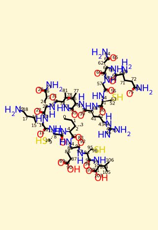 CC[C@H](C)[C@H](NC(=O)[C@H](CS)NC(=O)[C@H](CCCCN)NC(=O)[C@H](CCC(N)=O)NC(=O)[C@@H](NC(=O)[C@@H](NC(=O)[C@H](CCCNC(=N)N)NC(=O)[C@H](CS)NC(=O)CNC(=O)[C@H](CC(N)=O)NC(=O)[C@@H](N)CCC(N)=O)C(C)C)C(C)C)C(=O)N[C@@H](CCC(=O)O)C(=O)N[C@@H](CS)C(=O)N[C@H](C(=O)O)C(C)C